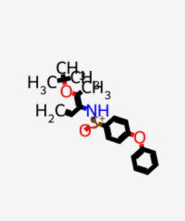 C=C/C(N[S+]([O-])c1ccc(Oc2ccccc2)cc1)=C(/C)OC(C)(C)C